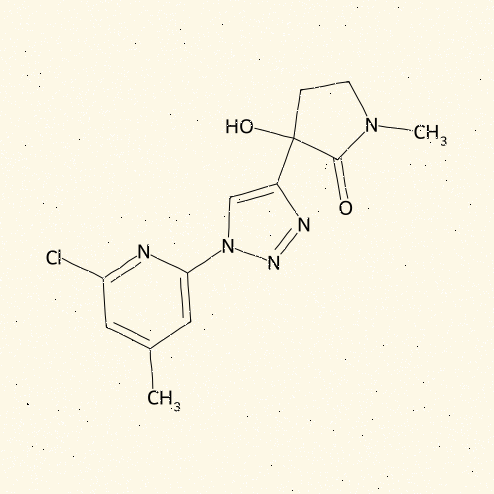 Cc1cc(Cl)nc(-n2cc(C3(O)CCN(C)C3=O)nn2)c1